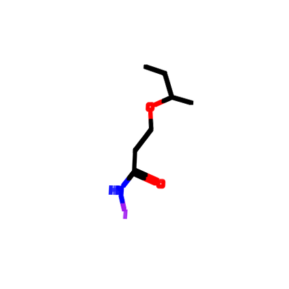 CCC(C)OCCC(=O)NI